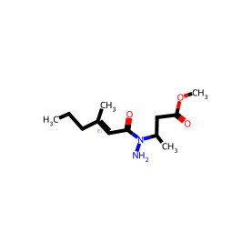 CCC/C(C)=C/C(=O)N(N)C(C)CC(=O)OC